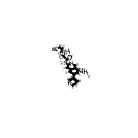 Cc1ccncc1-c1cc(N)c2cnc(NC(=O)C(=O)NC(C)(C)CC#N)cc2c1